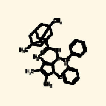 CC1=C(C)C(C)[C]([Zr]([NH]C(=O)C23CC4CC(C)(CC(C)(C4)C2)C3)[GeH]([c]2ccccc2)[c]2ccccc2)=C1C